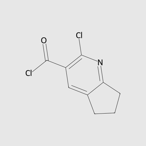 O=C(Cl)c1cc2c(nc1Cl)CCC2